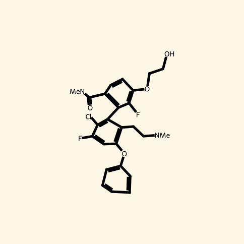 CNCCc1c(Oc2ccccc2)cc(F)c(Cl)c1-c1c(C(=O)NC)ccc(OCCO)c1F